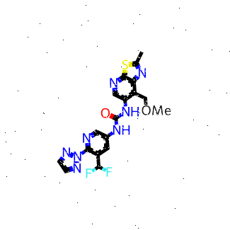 COCc1c(NC(=O)Nc2cnc(-n3nccn3)c(C(F)F)c2)cnc2sc(C)nc12